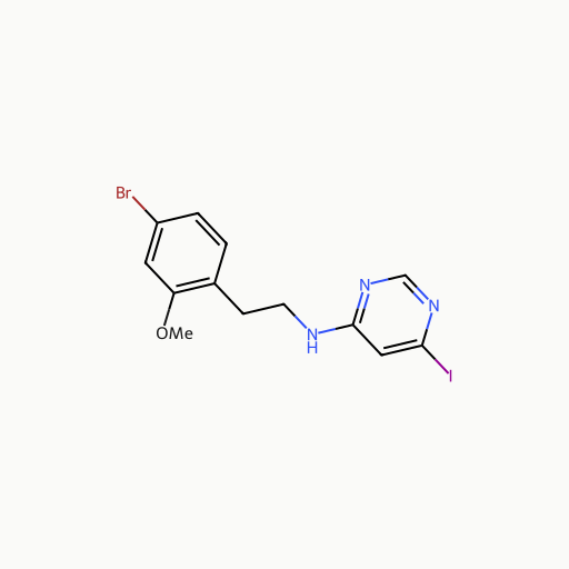 COc1cc(Br)ccc1CCNc1cc(I)ncn1